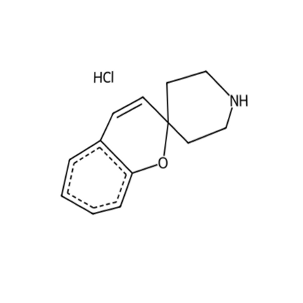 C1=CC2(CCNCC2)Oc2ccccc21.Cl